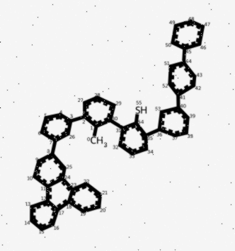 Cc1c(-c2cccc(-c3ccc4c5ccccc5c5ccccc5c4c3)c2)cccc1-c1cccc(-c2cccc(-c3ccc(-c4ccccc4)cc3)c2)c1S